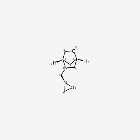 C1O[C@@H]1CN1C[C@@H]2C[C@H]1CO2